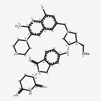 COC[C@@H]1CN(Cc2cc(F)c3nc(C)c(N4CCOCC4)cc3c2)C[C@H]1Oc1ccc2c(c1)CN([C@H]1CCC(=O)NC1=O)C2=O